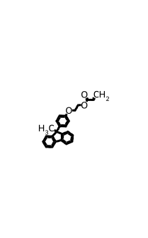 C=CC(=O)OCCOc1ccc(C2(C)c3ccccc3-c3ccccc32)cc1